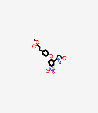 COC(=O)CCc1ccc(Oc2ccc([N+](=O)[O-])cc2C2CCC(=O)N2C)cc1